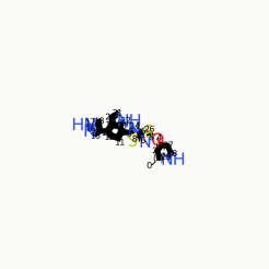 C[C@@H]1C[C@@H](Oc2nc3sc(-c4ccc(-c5cn[nH]c5)c5cc[nH]c45)nc3s2)CCN1